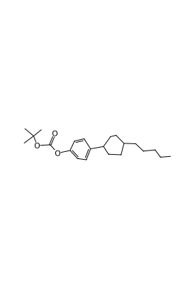 CCCCCC1CCC(c2ccc(OC(=O)OC(C)(C)C)cc2)CC1